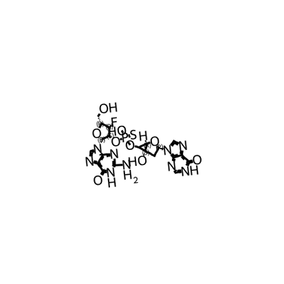 Nc1nc2c(ncn2[C@@H]2O[C@H](CO)[C@@H](F)[C@H]2OP(O)(=S)OC2[C@H]3O[C@@H](n4cnc5c(=O)[nH]cnc54)C[C@@]23O)c(=O)[nH]1